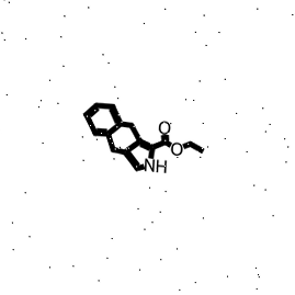 CCOC(=O)c1[nH]cc2c1Cc1ccccc1C2